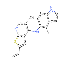 C=Cc1cc2c(Nc3ccc4[nH]ccc4c3C)c(C#N)cnc2s1